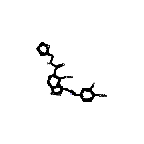 COc1ccc(/C=C/c2n[nH]c3ccc(C(=O)NCc4ccco4)c(OC)c23)cc1F